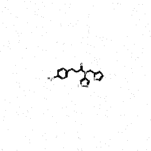 Cc1ccc(CCC(=O)N(Cc2cccs2)c2cn[nH]c2)cc1